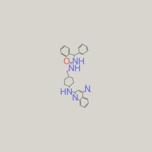 CN(C)c1cc(NC2CCC(CNC(=O)NC(c3ccccc3)c3ccccc3)CC2)nc2ccccc12